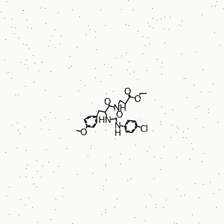 CCOC(=O)CCNC(=O)C(Cc1ccc(OC)cc1)NC(=O)Nc1ccc(Cl)cc1